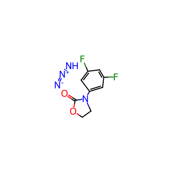 O=C1OCCN1c1cc(F)cc(F)c1.[N-]=[N+]=N